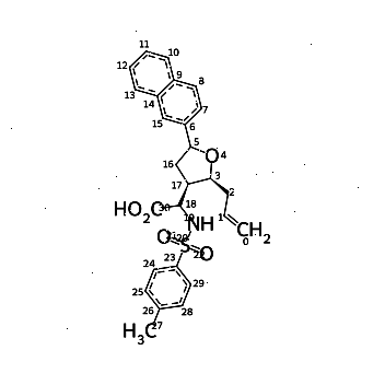 C=CC[C@@H]1OC(c2ccc3ccccc3c2)C[C@@H]1C(NS(=O)(=O)c1ccc(C)cc1)C(=O)O